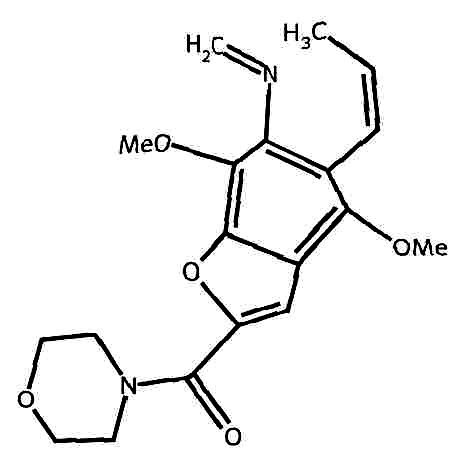 C=Nc1c(/C=C\C)c(OC)c2cc(C(=O)N3CCOCC3)oc2c1OC